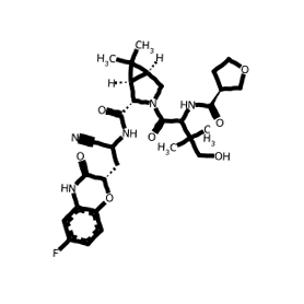 CC(C)(CO)C(NC(=O)[C@H]1CCOC1)C(=O)N1C[C@H]2[C@@H]([C@H]1C(=O)NC(C#N)C[C@@H]1Oc3ccc(F)cc3NC1=O)C2(C)C